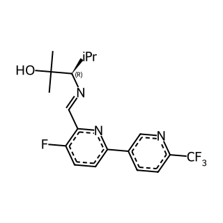 CC(C)[C@@H](N=Cc1nc(-c2ccc(C(F)(F)F)nc2)ccc1F)C(C)(C)O